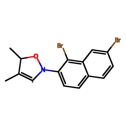 CC1=[C]N(c2ccc3ccc(Br)cc3c2Br)OC1C